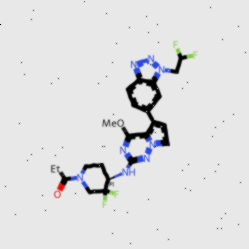 CCC(=O)N1CC[C@@H](Nc2nc(OC)c3c(-c4ccc5nnn(CC(F)F)c5c4)ccn3n2)C(F)(F)C1